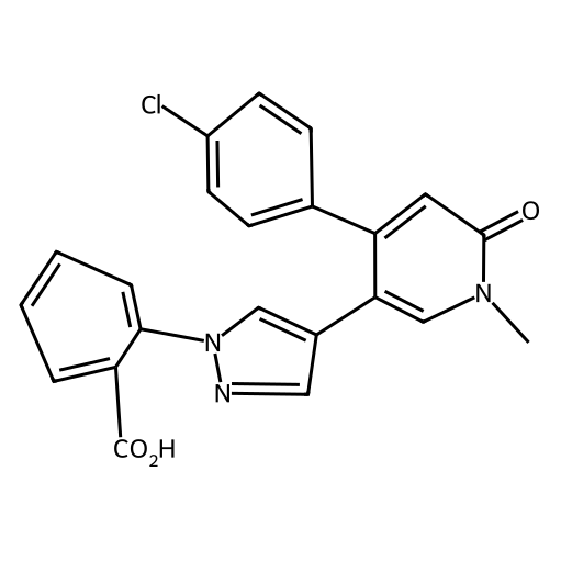 Cn1cc(-c2cnn(-c3ccccc3C(=O)O)c2)c(-c2ccc(Cl)cc2)cc1=O